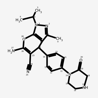 Cc1nn(C(C)C)c2c1C(c1ccc(N3CCNCC3=O)cc1)C(C#N)=C(N)O2